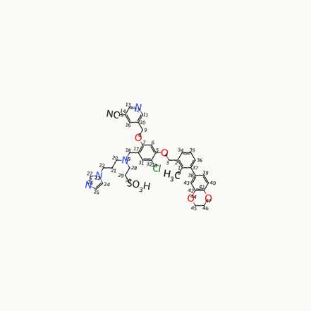 Cc1c(COc2cc(OCc3cncc(C#N)c3)c(CN(CCCn3ccnc3)CCS(=O)(=O)O)cc2Cl)cccc1-c1ccc2c(c1)OCCO2